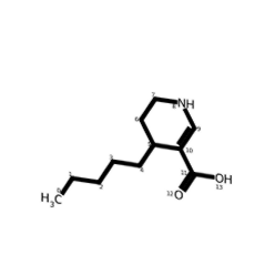 CCCCCC1CCNC=C1C(=O)O